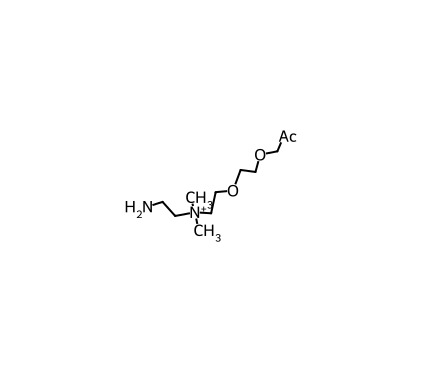 CC(=O)COCCOCC[N+](C)(C)CCN